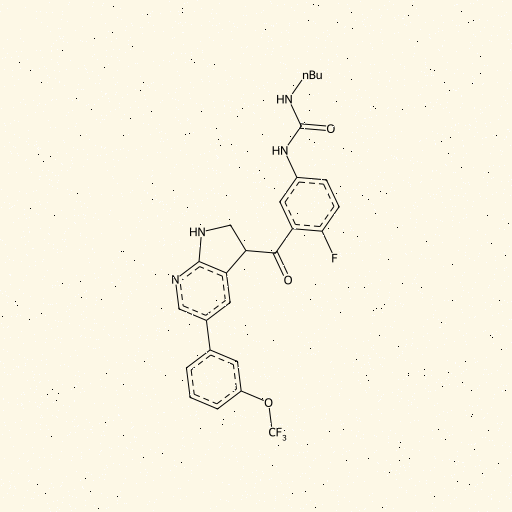 CCCCNC(=O)Nc1ccc(F)c(C(=O)C2CNc3ncc(-c4cccc(OC(F)(F)F)c4)cc32)c1